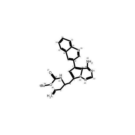 C=CCC(Cc1cc(-c2cnc3ccccc3c2)c2c(N)ncnn12)NC(=O)OC(C)(C)C